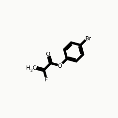 C=C(F)C(=O)Oc1ccc(Br)cc1